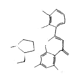 CN1CC[C@H](c2c(O)cc(O)c3c(=O)cc(-c4cccc(Cl)c4Cl)oc23)[C@H]1CO